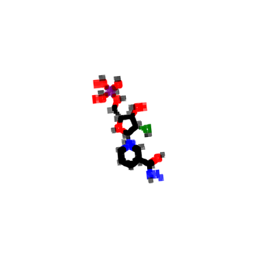 NC(=O)c1ccc[n+]([C@@H]2O[C@H](COP(=O)(O)O)[C@@H](O)[C@@H]2Cl)c1